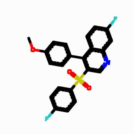 COc1ccc(-c2c(S(=O)(=O)c3ccc(F)cc3)cnc3cc(F)ccc23)cc1